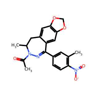 CC(=O)N1N=C(c2ccc([N+](=O)[O-])c(C)c2)c2cc3c(cc2CC1C)OCO3